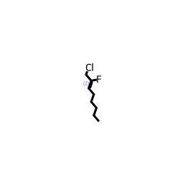 CCCCC/C=C(\F)CCl